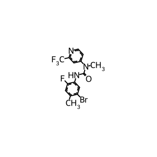 Cc1cc(F)c(NC(=O)N(C)c2ccnc(C(F)(F)F)c2)cc1Br